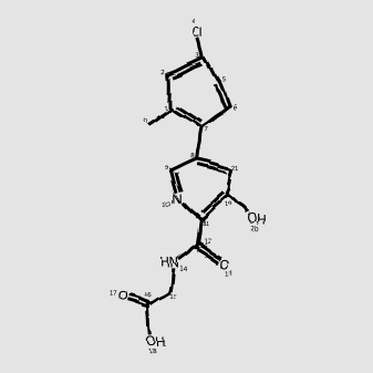 Cc1cc(Cl)ccc1-c1cnc(C(=O)NCC(=O)O)c(O)c1